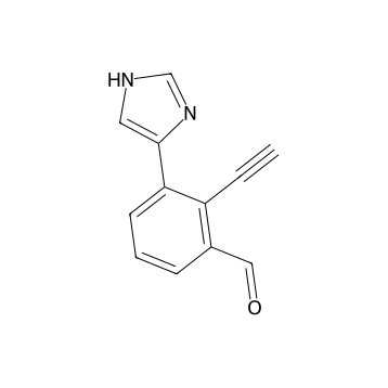 C#Cc1c(C=O)cccc1-c1c[nH]cn1